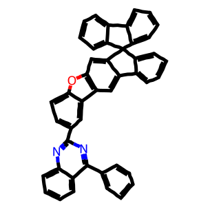 c1ccc(-c2nc(-c3ccc4oc5cc6c(cc5c4c3)-c3ccccc3C63c4ccccc4-c4ccccc43)nc3ccccc23)cc1